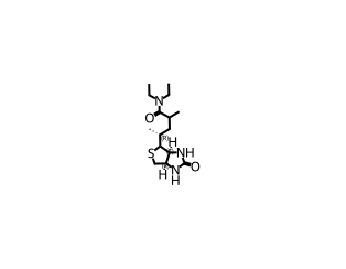 CCN(CC)C(=O)C(C)C[C@@H](C)C1SC[C@@H]2NC(=O)N[C@H]12